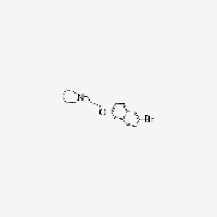 Brc1ccc2cc(OCCCN3CCCCC3)ccc2c1